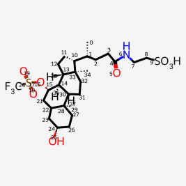 C[C@H](CCC(=O)NCCS(=O)(=O)O)[C@H]1CC[C@H]2[C@@H]3[C@@H](OS(=O)(=O)C(F)(F)F)CC4C[C@H](O)CC[C@]4(C)[C@H]3CC[C@]12C